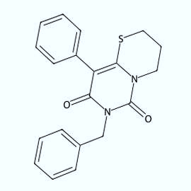 O=c1c(-c2ccccc2)c2n(c(=O)n1Cc1ccccc1)CCCS2